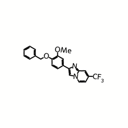 COc1cc(-c2cn3ccc(C(F)(F)F)cc3n2)ccc1OCc1ccccc1